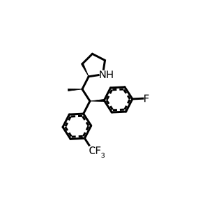 C[C@H]([C@@H](c1ccc(F)cc1)c1cccc(C(F)(F)F)c1)[C@H]1CCCN1